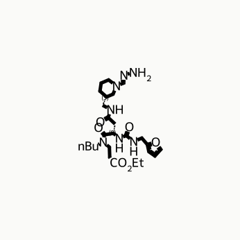 CCCCN(CCC(=O)OCC)C(=O)[C@H](CC(=O)NC[C@@H]1CCCN(C=NN)C1)NC(=O)NCc1ccco1